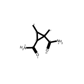 CC1C(C(N)=O)C1(C)C(N)=O